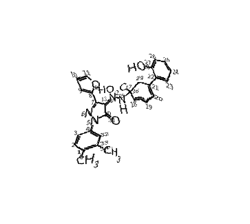 Cc1ccc(N2N=C(c3ccco3)C(=NNC3(C(=O)O)C=CC=C(c4ccccc4O)C3)C2=O)cc1C